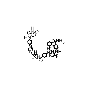 NC(=O)c1ccc(Nc2nc(Nc3ccc(C(=O)N4C[C@@H]5C(CN6CCN(c7ccc(NC8CCC(=O)NC8=O)cc7)CC6)[C@@H]5C4)cc3)ncc2F)cc1-c1ccccc1Cl